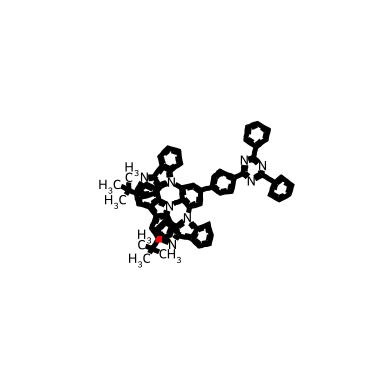 CC(C)(C)c1ccc2c(c1)c1cc(C(C)(C)C)ccc1n2-c1c(-n2c3ccccc3c3ncccc32)cc(-c2ccc(-c3nc(-c4ccccc4)nc(-c4ccccc4)n3)cc2)cc1-n1c2ccccc2c2ncccc21